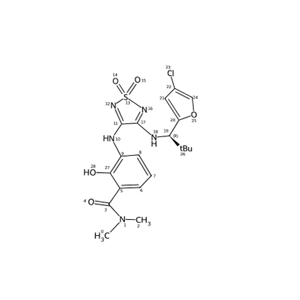 CN(C)C(=O)c1cccc(NC2=NS(=O)(=O)N=C2N[C@@H](c2cc(Cl)co2)C(C)(C)C)c1O